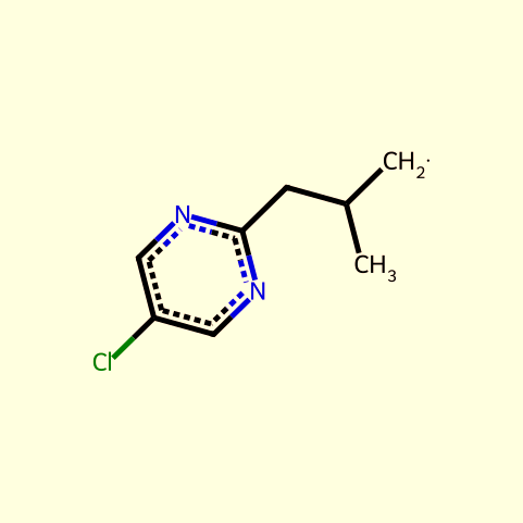 [CH2]C(C)Cc1ncc(Cl)cn1